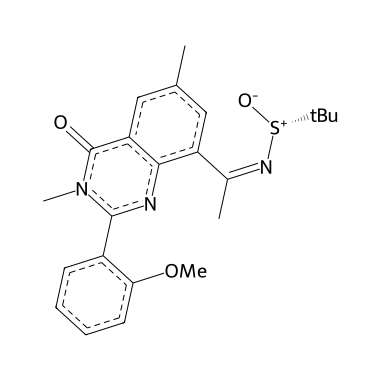 COc1ccccc1-c1nc2c(/C(C)=N\[S@+]([O-])C(C)(C)C)cc(C)cc2c(=O)n1C